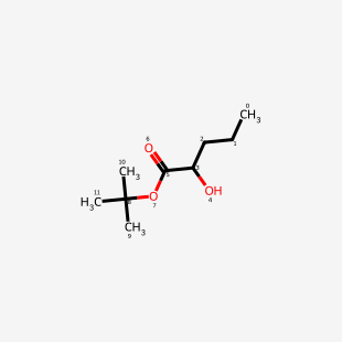 CCCC(O)C(=O)OC(C)(C)C